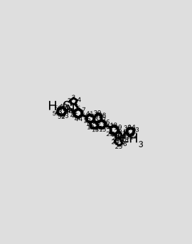 CC12CCCC1c1cc(-c3cc4ccc5cc(-c6ccc7c(c6)C6CCCC6(C)N7c6ccccc6)cc6ccc(c3)c4c56)ccc1N2c1ccccc1